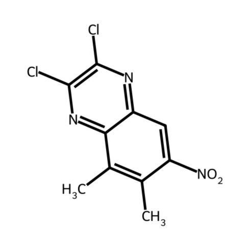 Cc1c([N+](=O)[O-])cc2nc(Cl)c(Cl)nc2c1C